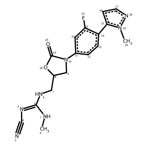 CN/C(=N\C#N)NCC1CN(c2ccc(-c3ccnn3C)c(F)c2)C(=O)O1